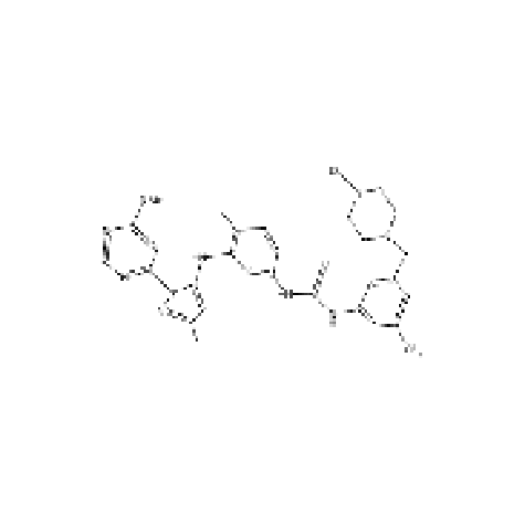 CCN1CCN(Cc2cc(NC(=O)Nc3ccc(C)c(Nc4cc(C)nn4-c4cc(NC)ncn4)c3)cc(C(F)(F)F)c2)CC1